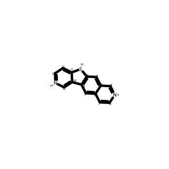 c1cc2cc3c(cc2cn1)sc1ccncc13